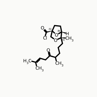 CC(C)=CCC(=O)C(C)CCC[C@]1(C)OC[C@]2(C(=O)Cl)CC[C@H]1O2